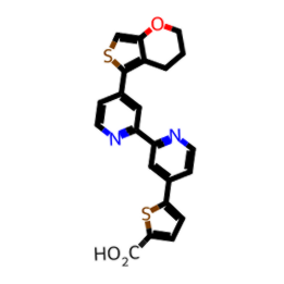 O=C(O)c1ccc(-c2ccnc(-c3cc(-c4scc5c4CCCO5)ccn3)c2)s1